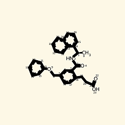 C[C@@H](NC(=O)c1cc(COc2ccccc2)ccc1CCC(=O)O)c1cccc2ccccc12